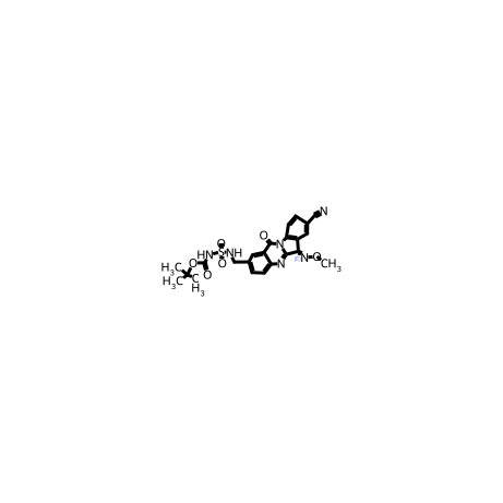 CO/N=C1\c2cc(C#N)ccc2-n2c1nc1ccc(CNS(=O)(=O)NC(=O)OC(C)(C)C)cc1c2=O